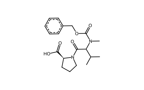 CC(C)C(C(=O)N1CCC[C@H]1C(=O)O)N(C)C(=O)OCc1ccccc1